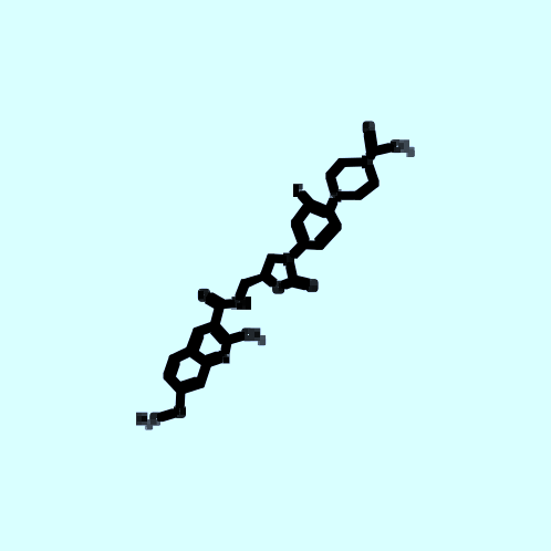 COc1ccc2cc(C(=O)NC[C@H]3CN(c4ccc(N5CCN(C(C)=O)CC5)c(F)c4)C(=O)O3)c(C)nc2c1